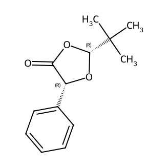 CC(C)(C)[C@H]1OC(=O)[C@@H](c2ccccc2)O1